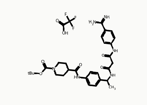 CC(NC(=O)CC(=O)Nc1ccc(C(=N)N)cc1)c1ccc(NC(=O)C2CCN(C(=O)OC(C)(C)C)CC2)cc1.O=C(O)C(F)(F)F